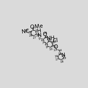 COc1cc(NCc2cc3ccc(OCCc4ccccn4)c(Cl)c3[nH]c2=O)ccc1C#N